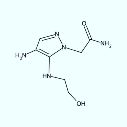 NC(=O)Cn1ncc(N)c1NCCO